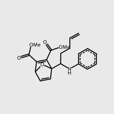 C=CCCC(Nc1ccccc1)C12C=CC(O1)C(C(=O)OC)=C2C(=O)OC